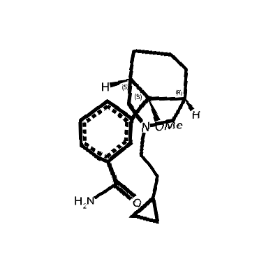 CO[C@]1(c2cccc(C(N)=O)c2)[C@@H]2CCC[C@H]1CN(CCC1CC1)C2